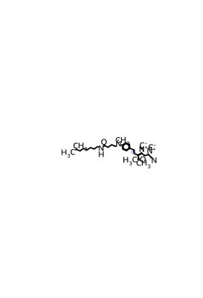 [C-]#[N+]C1=C(/C=C/c2ccc(N(C)CCCC(=O)NCCCCCCC(C)C)cc2)C(C)(C)OC1C(C#N)[N+]#[C-]